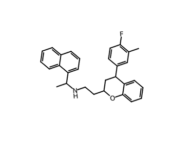 Cc1cc(C2CC(CCNC(C)c3cccc4ccccc34)Oc3ccccc32)ccc1F